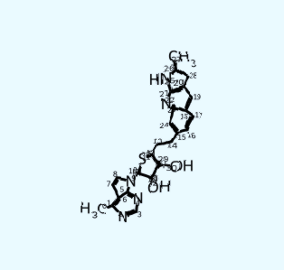 Cc1ncnc2c1ccn2[C@@H]1S[C@@H](CCc2ccc3cc4c(nc3c2)NC(C)C4)[C@@H](O)[C@H]1O